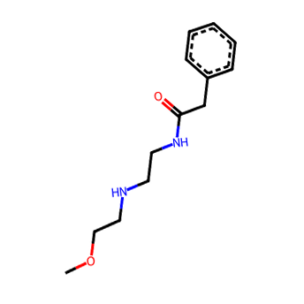 COCCNCCNC(=O)Cc1ccccc1